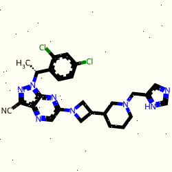 C[C@H](c1ccc(Cl)cc1Cl)n1nc(C#N)c2ncc(N3CC(C4CCCN(Cc5cnc[nH]5)C4)C3)nc21